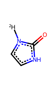 [2H]n1cc[nH]c1=O